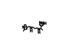 Cc1cc(CNCCCNC(C)c2cn[nH]c2)on1